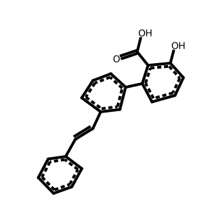 O=C(O)c1c(O)cccc1-c1cccc(C=Cc2ccccc2)c1